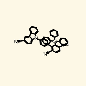 N#Cc1ccc2c(c1)c1ccccc1n2-c1ccc(-c2c(C#N)ccc(C#N)c2[Si](c2ccccc2)(c2ccccc2)c2ccccc2)cc1